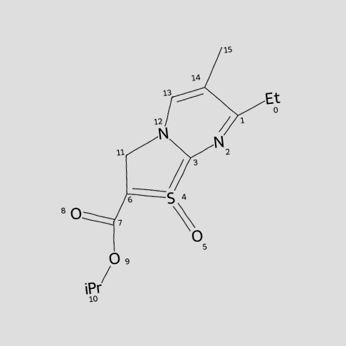 CCC1=NC2=S(=O)=C(C(=O)OC(C)C)CN2C=C1C